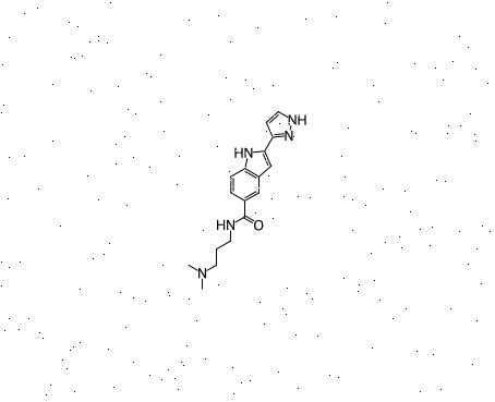 CN(C)CCCNC(=O)c1ccc2[nH]c(-c3cc[nH]n3)cc2c1